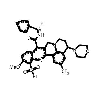 CCS(=O)(=O)c1c(OC)ccc2c(C(=O)N[C@@H](C)c3ccccc3)c(CN3CCC(N4CCOCC4)CC3)c(-c3cccc(C(F)(F)F)c3)nc12